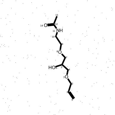 C=CCOCC(O)COCCNC(C)=O